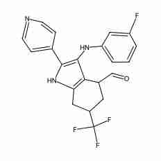 O=CC1CC(C(F)(F)F)Cc2[nH]c(-c3ccncc3)c(Nc3cccc(F)c3)c21